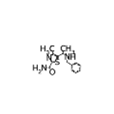 Cc1nc(C(N)=O)sc1C(C)NCc1ccccc1